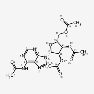 CC(=O)Nc1ncnc2c1ncn2[C@@H]1O[C@H](COC(C)=O)[C@@H](OC(C)=O)[C@H]1OC(C)=O